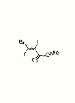 COC(=O)/C(I)=C(/Br)I